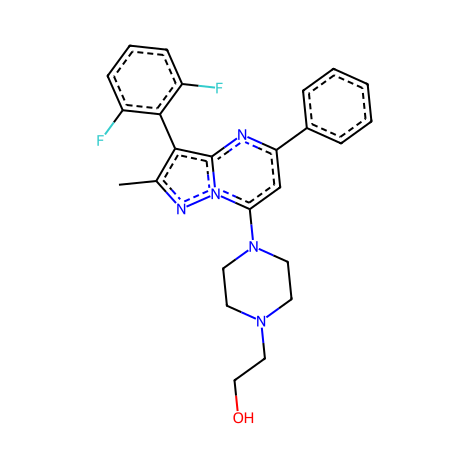 Cc1nn2c(N3CCN(CCO)CC3)cc(-c3ccccc3)nc2c1-c1c(F)cccc1F